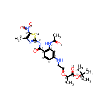 CC(=O)Nc1cc(NCCOC(C)C(=O)OC(C)(C)C)ccc1C(=O)Nc1nc(C)c([N+](=O)[O-])s1